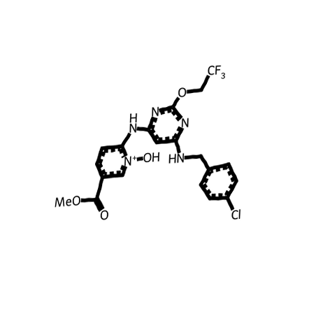 COC(=O)c1ccc(Nc2cc(NCc3ccc(Cl)cc3)nc(OCC(F)(F)F)n2)[n+](O)c1